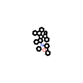 c1ccc(N(c2cc3c(c4ccccc24)-c2c(c4ccccc4c4ccccc24)C32c3ccccc3-c3ccccc32)c2cccc3c2oc2ccccc23)cc1